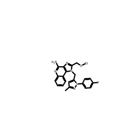 CCOCc1nc2c(N)nc3ccccc3c2n1Cc1cc(C)nn1-c1ccc(F)cc1